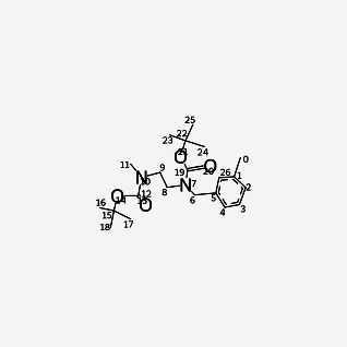 Cc1cccc(CN(CCN(C)C(=O)OC(C)(C)C)C(=O)OC(C)(C)C)c1